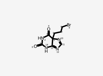 O=C1NC(=O)C2(CCCBr)N=CN=C2N1